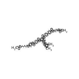 C=CC(=O)OCCCCCCOc1ccc(OC(=O)C2CCC(C(=O)Oc3ccc(OC(=O)C4CCC(C5CCC(C(=O)OCCCCOC(=O)C=C)CC5)CC4)c4nc(-c5cc6c(C)cc(C)cc6o5)sc34)CC2)cc1